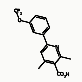 Cc1cc(-c2cccc(OC(F)(F)F)c2)nc(C)c1C(=O)O